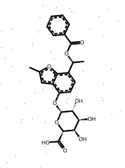 Cc1cc2c(O[C@@H]3O[C@H](C(=O)O)[C@H](O)[C@H](O)[C@H]3O)ccc(C(C)OC(=O)c3ccccc3)c2o1